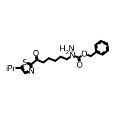 CC(C)c1cnc(C(=O)CCCCCN(N)C(=O)OCc2ccccc2)s1